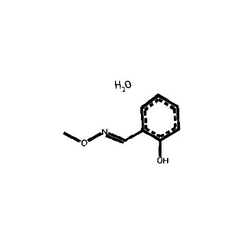 CON=Cc1ccccc1O.O